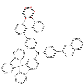 c1ccc(-c2ccccc2-c2c(-c3ccccc3)cccc2-c2ccc(N(c3ccc(-c4ccc5ccccc5c4)cc3)c3ccc4c(c3)C3(c5ccccc5-c5ccccc53)c3ccccc3-4)cc2)cc1